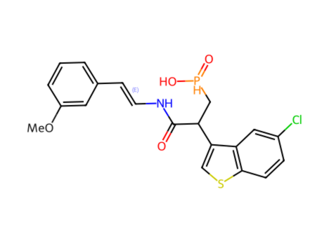 COc1cccc(/C=C/NC(=O)C(C[PH](=O)O)c2csc3ccc(Cl)cc23)c1